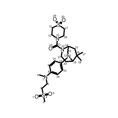 CN(CCS(C)(=O)=O)c1ccc(N2CC3CC(C)(C)C2CCN3C(=O)N2CCS(=O)(=O)CC2)cc1